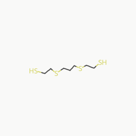 SCCSCCCSCCS